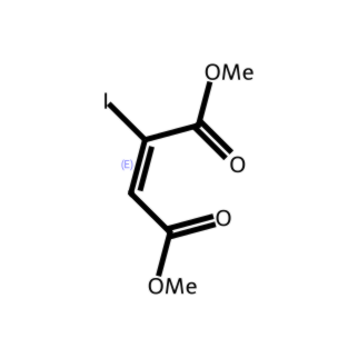 COC(=O)/C=C(/I)C(=O)OC